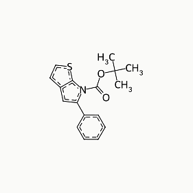 CC(C)(C)OC(=O)n1c(-c2ccccc2)cc2ccsc21